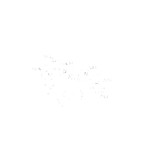 CC(C)=CCC/C(C)=C/CC[C@@]1(C)Oc2c(c(O)cc3c2CN(CCC[C@@H](C(=O)O)N2Cc4c(cc(O)c5c4O[C@](C)(CC/C=C(\C)CCC=C(C)C)[C@@H](O)C5)C2O)C3O)C[C@@H]1O